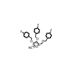 N#C[C@@H]1O[C@H](COCc2ccc(F)cc2)[C@@H](OCc2ccc(F)cc2)[C@H]1OCc1ccc(F)cc1